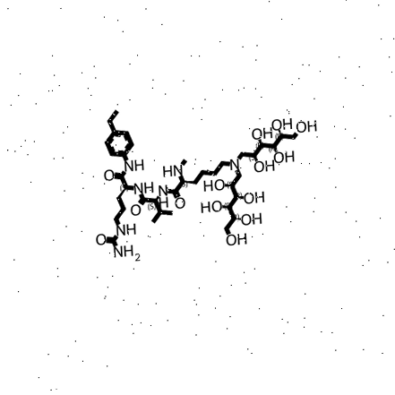 CCc1ccc(NC(=O)[C@H](CCCNC(N)=O)NC(=O)[C@@H](NC(=O)[C@H](CCCCN(C[C@H](O)[C@@H](O)[C@H](O)[C@H](O)CO)C[C@H](O)[C@@H](O)[C@H](O)[C@H](O)CO)NC)C(C)C)cc1